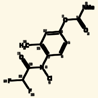 CNC(=O)Oc1ccc(N(Cl)C(=O)C(F)F)c(C)c1